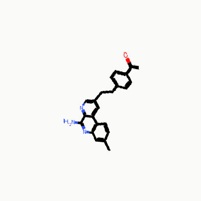 CC(=O)c1ccc(CCc2cnc3c(N)nc4cc(C)ccc4c3c2)cc1